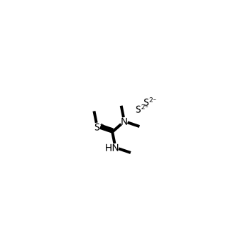 CN/C(=[S+]/C)N(C)C.[S-2].[S-2]